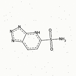 NS(=O)(=O)c1ccc2nnnc-2[nH]1